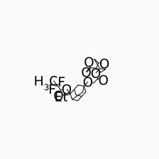 CCC1(OC(=O)C(C)(F)F)C2CC3CC1CC(OCC(=O)OC1C4CC5C(=O)OC1C5O4)(C3)C2